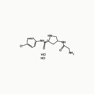 Cl.Cl.NCC(=O)NC1CN[C@H](C(=O)Nc2ccc(Cl)cc2)C1